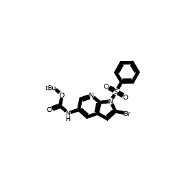 CC(C)(C)OC(=O)Nc1cnc2c(c1)cc(Br)n2S(=O)(=O)c1ccccc1